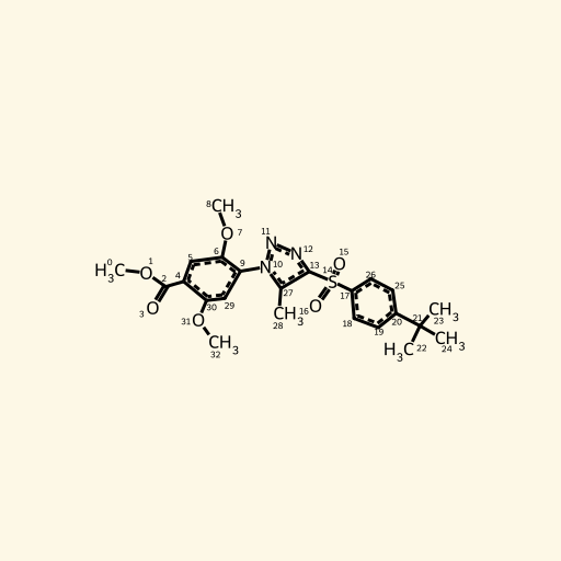 COC(=O)c1cc(OC)c(-n2nnc(S(=O)(=O)c3ccc(C(C)(C)C)cc3)c2C)cc1OC